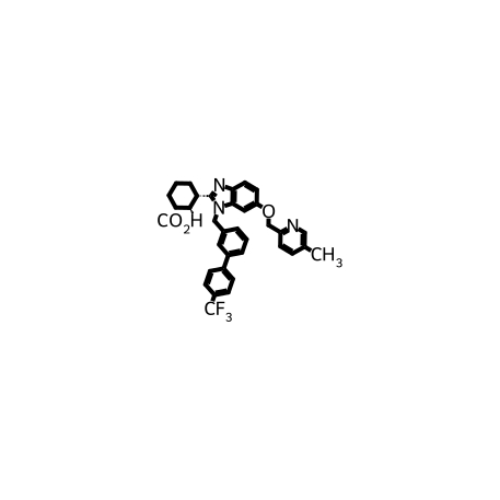 Cc1ccc(COc2ccc3nc([C@H]4CCCC[C@H]4C(=O)O)n(Cc4cccc(-c5ccc(C(F)(F)F)cc5)c4)c3c2)nc1